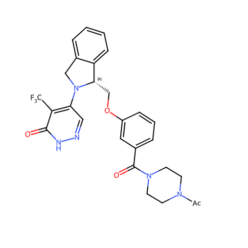 CC(=O)N1CCN(C(=O)c2cccc(OC[C@H]3c4ccccc4CN3c3cn[nH]c(=O)c3C(F)(F)F)c2)CC1